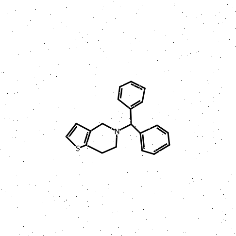 c1ccc(C(c2ccccc2)N2CCc3sccc3C2)cc1